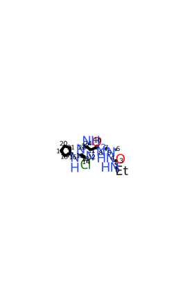 CCNC(=O)NN(C)C=NC(=O)c1nc(Cl)c(NC2CCCC2)nc1N